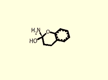 N[C@]1(O)CCc2ccccc2O1